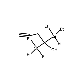 C#CCC(O)([Si](CC)(CC)CC)[Si](CC)(CC)CC